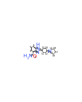 NC(=O)c1cccc2[nH]c(C3CCC(N4CCCCC4)CC3)nc12